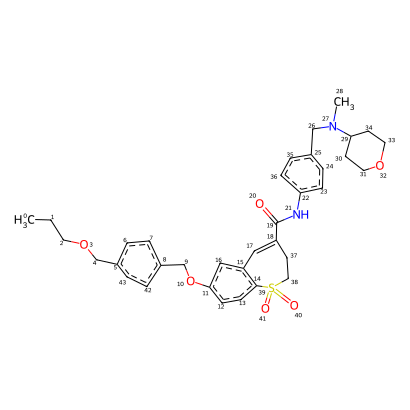 CCCOCc1ccc(COc2ccc3c(c2)C=C(C(=O)Nc2ccc(CN(C)C4CCOCC4)cc2)CCS3(=O)=O)cc1